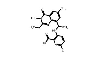 CCc1nc2c(C(C)Nc3ccc(Cl)nc3C(=O)O)cc(C)cc2c(=O)n1C